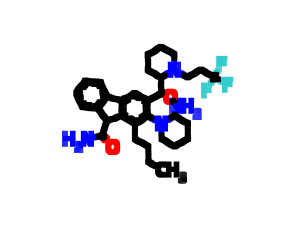 CCCCc1c2c(cc(C(=O)C3CCCCN3CCC(F)(F)F)c1N1CCCCC1N)-c1ccccc1C2C(N)=O